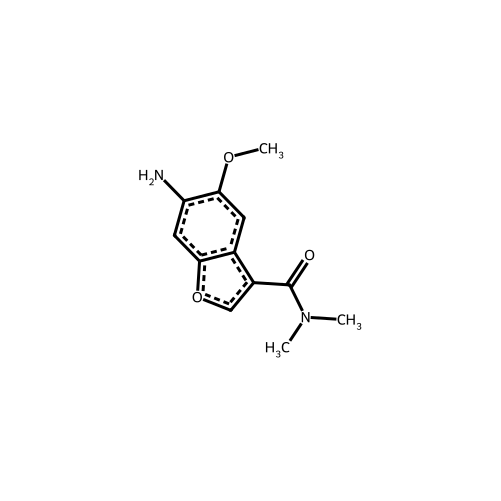 COc1cc2c(C(=O)N(C)C)coc2cc1N